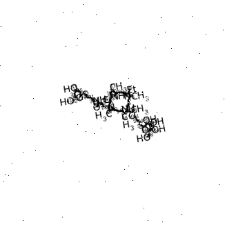 CCC1=C(C)c2cc3[nH]c(cc4nc(c(C)c5cc(C)c(cc1n2)[nH]5)[C@@H](CCC(=O)NCCCS[C@H]1C[C@@H](O)C[C@@H](CO)O1)[C@@H]4C)c(C)c3C(C)OCCCSC1O[C@H](CO)[C@@H](O)[C@H](O)[C@H]1O